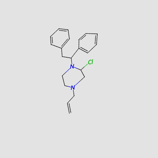 C=CCN1CCN(C(Cc2ccccc2)c2ccccc2)C(Cl)C1